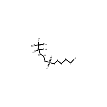 O=S(=O)(CCCCCI)CCCC(F)(F)C(F)(F)F